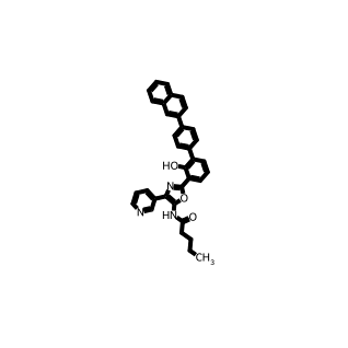 CCCCC(=O)Nc1oc(-c2cccc(-c3ccc(-c4ccc5ccccc5c4)cc3)c2O)nc1-c1cccnc1